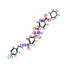 O=C(NCCc1ccc(Cl)cc1)c1ccc(S(=O)(=O)NC(=O)c2ccc(C(=O)OC3CCCCC3)nc2)cc1